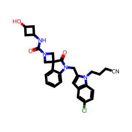 N#CCCCn1c(CN2C(=O)C3(CN(C(=O)NC4CC(O)C4)C3)c3ccccc32)cc2cc(Cl)ccc21